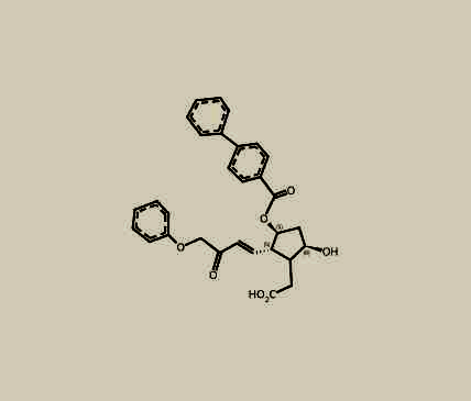 O=C(O)CC1[C@H](O)C[C@H](OC(=O)c2ccc(-c3ccccc3)cc2)[C@H]1C=CC(=O)COc1ccccc1